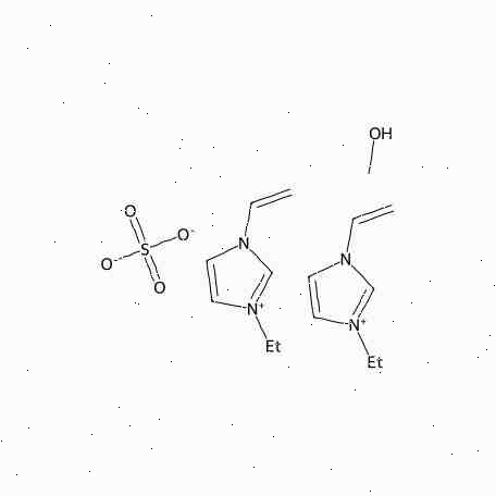 C=Cn1cc[n+](CC)c1.C=Cn1cc[n+](CC)c1.CO.O=S(=O)([O-])[O-]